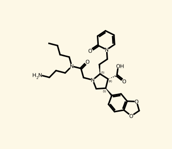 CCCCN(CCCN)C(=O)CN1C[C@H](c2ccc3c(c2)OCO3)[C@@H](C(=O)O)[C@@H]1CCn1ccccc1=O